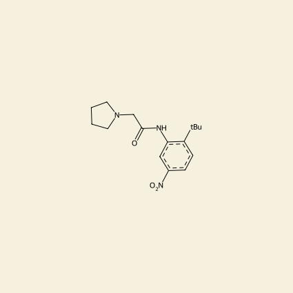 CC(C)(C)c1ccc([N+](=O)[O-])cc1NC(=O)CN1CCCC1